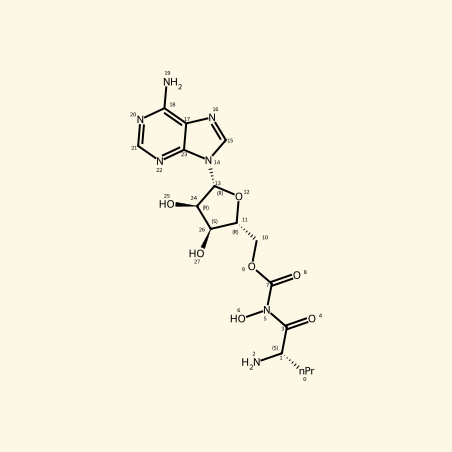 CCC[C@H](N)C(=O)N(O)C(=O)OC[C@H]1O[C@@H](n2cnc3c(N)ncnc32)[C@H](O)[C@@H]1O